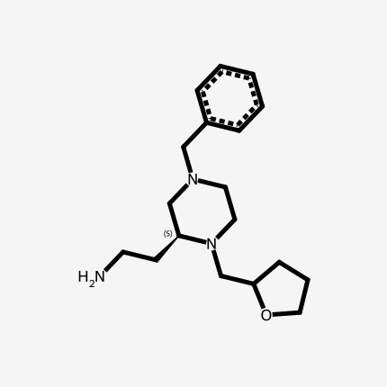 NCC[C@H]1CN(Cc2ccccc2)CCN1CC1CCCO1